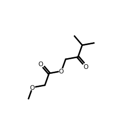 COCC(=O)OCC(=O)C(C)C